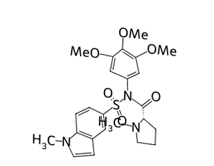 COc1cc(N(C(=O)[C@@H]2CCCN2C)S(=O)(=O)c2ccc3c(ccn3C)c2)cc(OC)c1OC